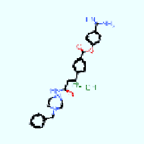 Cl.Cl.N=C(N)c1ccc(OC(=O)c2ccc(C=CC(=O)NN3CCN(Cc4ccccc4)CC3)cc2)cc1